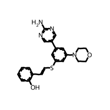 Nc1ncc(-c2cc(S/C=C/c3ccccc3O)cc(N3CCOCC3)c2)cn1